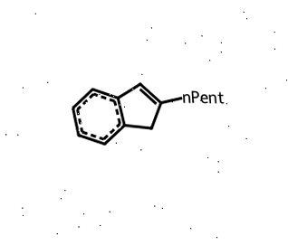 CCCCCC1=Cc2ccccc2C1